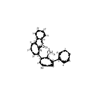 Cc1c(-c2ccccc2)cccc1-c1cccc2c1sc1ccccc12